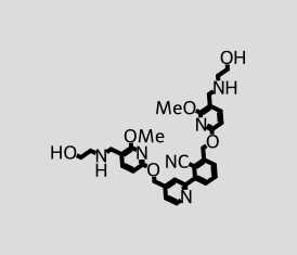 COc1nc(OCc2ccnc(-c3cccc(COc4ccc(CNCCO)c(OC)n4)c3C#N)c2)ccc1CNCCO